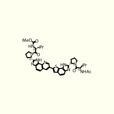 COC(=O)N[C@H](C(=O)N1CCC[C@H]1c1nc2ccc3cc(-c4cc5ccc6nc([C@@H]7CCCN7C(=O)[C@@H](NC(C)=O)C(C)C)[nH]c6c5s4)cnc3c2[nH]1)C(C)C